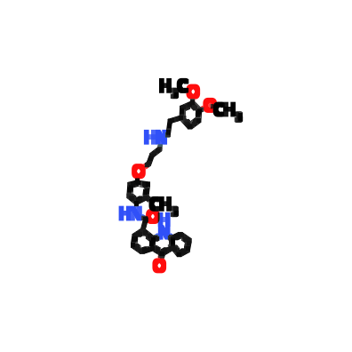 COc1ccc(CCNCCCOc2ccc(NC(=O)c3cccc4c(=O)c5ccccc5[nH]c34)c(C)c2)cc1OC